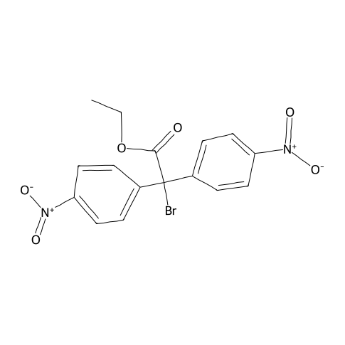 CCOC(=O)C(Br)(c1ccc([N+](=O)[O-])cc1)c1ccc([N+](=O)[O-])cc1